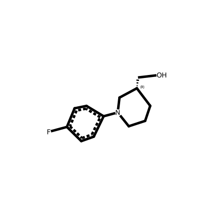 OC[C@@H]1CCCN(c2ccc(F)cc2)C1